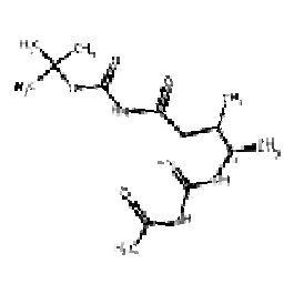 CC(=O)NC(=N)N[C@H](C)C(C)CC(=O)NC(=O)OC(C)(C)C